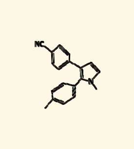 Cc1ccc(-c2c(-c3ccc(C#N)cc3)ccn2C)cc1